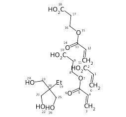 C=CC(=O)O.C=CC(=O)OCCC(=O)O.C=CC(=O)OCCC(=O)O.CCC(CO)(CO)CO